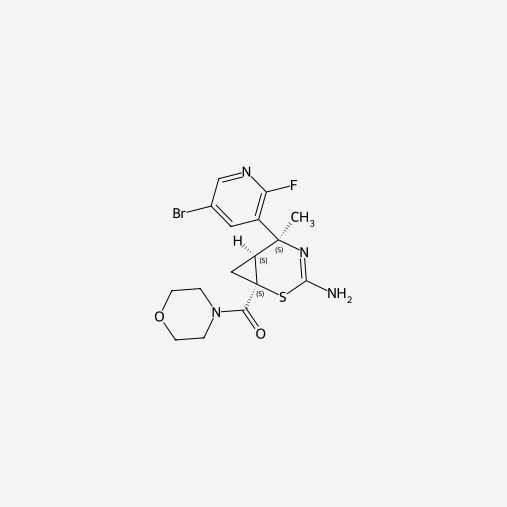 C[C@]1(c2cc(Br)cnc2F)N=C(N)S[C@@]2(C(=O)N3CCOCC3)C[C@H]21